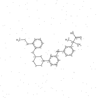 CCOc1ccccc1OC1CCCN(c2cncc(Nc3cccc(C(C)(C)C(=O)O)c3)n2)C1